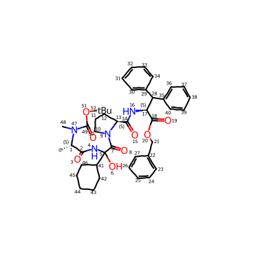 C[C@@H](C(=O)NC(O)(C(=O)N1CCC[C@H]1C(=O)N[C@H](C(=O)OCc1ccccc1)C(c1ccccc1)c1ccccc1)C1CCCCC1)N(C)C(=O)OC(C)(C)C